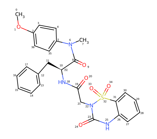 COc1ccc(N(C)C(=O)[C@H](Cc2ccccc2)NC(=O)CN2C(=O)Nc3ccccc3S2(=O)=O)cc1